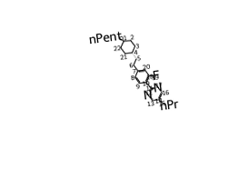 CCCCC[C@H]1CC[C@H](CCc2ccc(-c3ncc(CCC)cn3)c(F)c2)CC1